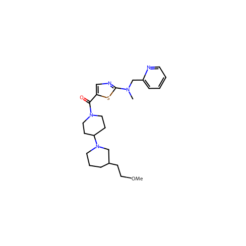 COCCC1CCCN(C2CCN(C(=O)c3cnc(N(C)Cc4ccccn4)s3)CC2)C1